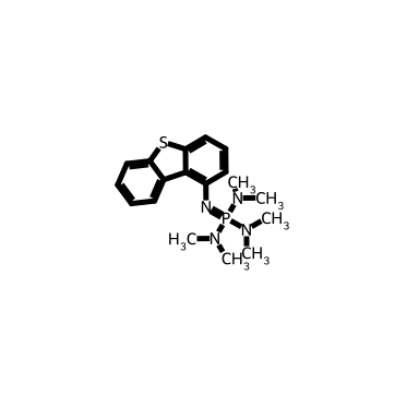 CN(C)P(=Nc1cccc2sc3ccccc3c12)(N(C)C)N(C)C